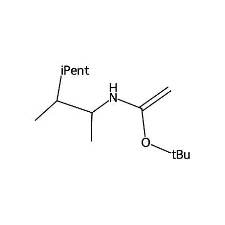 C=C(NC(C)C(C)C(C)CCC)OC(C)(C)C